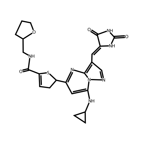 O=C1NC(=O)/C(=C/c2cnn3c(NC4CC4)cc(C4CC=C(C(=O)NCC5CCCO5)S4)nc23)N1